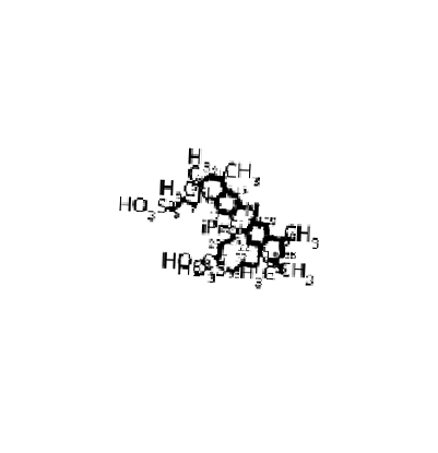 CC1=CC(C)(C)N(CCCS(=O)(=O)O)c2cc3c(cc21)N=c1cc2c(cc1[Si]3(CCCC(=O)O)C(C)C)=[N+](CCCS(=O)(=O)O)C(C)(C)C=C2C